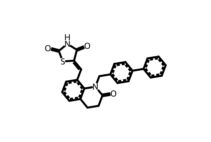 O=C1NC(=O)/C(=C/c2cccc3c2N(Cc2ccc(-c4ccccc4)cc2)C(=O)CC3)S1